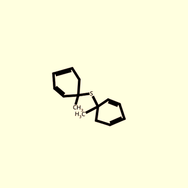 CC1(SC2(C)C=CC=CC2)C=CC=CC1